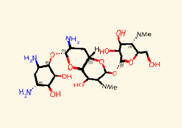 CNC1C(O[C@H]2OC(CO)[C@@H](NC)C(O)C2O)O[C@H]2CC(N)[C@@H](O[C@@H]3C(N)C[C@@H](N)C(O)C3O)OC2C1O